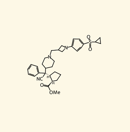 COC(=O)[C@@H]1CCC[C@H]1C(C#N)(c1ccccc1)C1CCN(CC2CN(c3ccc(S(=O)(=O)C4CC4)cc3)C2)CC1